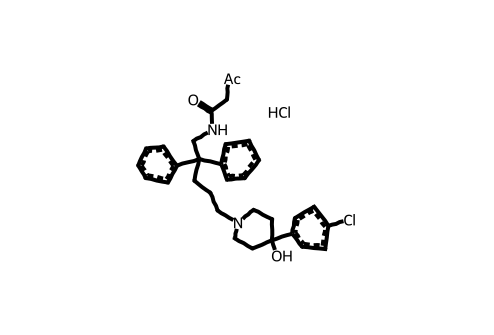 CC(=O)CC(=O)NCC(CCCN1CCC(O)(c2ccc(Cl)cc2)CC1)(c1ccccc1)c1ccccc1.Cl